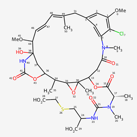 COc1cc2cc(c1Cl)N(C)C(=O)CC(OC(=O)[C@H](C)N(C)C(=O)NC(CSCC(=O)O)C(=O)O)C1(C)OC1C(C)C1CC(O)(NC(=O)O1)C(OC)/C=C/C=C(\C)C2